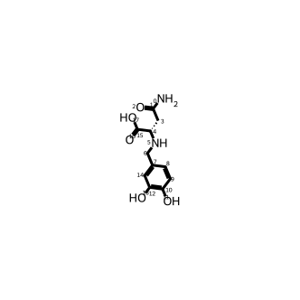 NC(=O)C[C@H](NCc1ccc(O)c(O)c1)C(=O)O